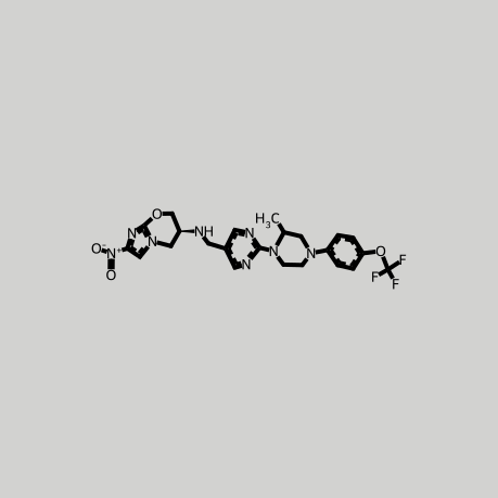 CC1CN(c2ccc(OC(F)(F)F)cc2)CCN1c1ncc(CN[C@@H]2COc3nc([N+](=O)[O-])cn3C2)cn1